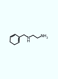 NCCNCC1=CCCC=C1